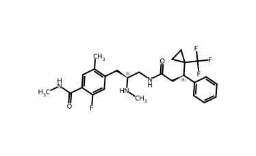 CNC(=O)c1cc(C)c(C[C@@H](CNC(=O)C[C@H](c2ccccc2)C2(C(F)(F)F)CC2)NC)cc1F